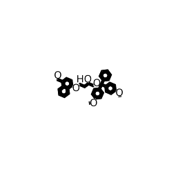 COc1ccc(C(OCC(O)CCOc2ccc(C=O)c3ccccc23)(c2ccccc2)c2ccc(OC)cc2)cc1